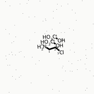 NCCCl.O=C(O)O.O=C(O)O